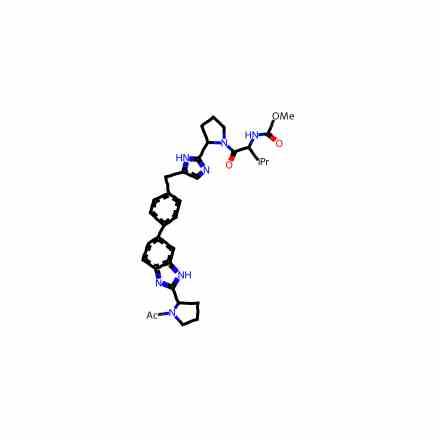 COC(=O)NC(C(=O)N1CCCC1c1ncc(Cc2ccc(-c3ccc4nc(C5CCCN5C(C)=O)[nH]c4c3)cc2)[nH]1)C(C)C